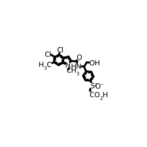 Cc1cc2c(cc(C(=O)NC(CO)c3ccc([S@+]([O-])CC(=O)O)cc3)n2C)c(Cl)c1Cl